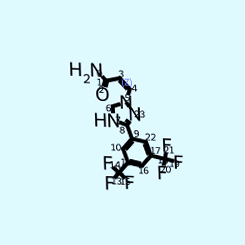 NC(=O)/C=C\N1CNC(c2cc(C(F)(F)F)cc(C(F)(F)F)c2)=N1